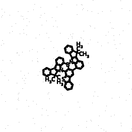 CC1(C)c2ccccc2-c2c1c1cccc3c1n2B1c2c-3cc3c(sc4ccccc43)c2-n2c3c(c4cccc1c42)-c1ccccc1C3(C)C